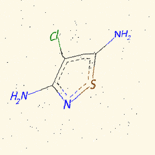 Nc1nsc(N)c1Cl